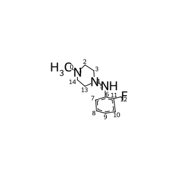 CN1CCN(Nc2ccccc2F)CC1